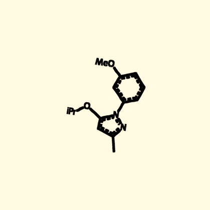 COc1cccc(-n2nc(C)cc2OC(C)C)c1